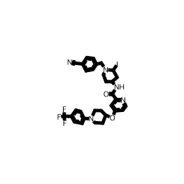 N#Cc1ccc(CN2CCC(NC(=O)c3cc(OC4CCN(c5ccc(C(F)(F)F)cc5)CC4)ccn3)CC2I)cc1